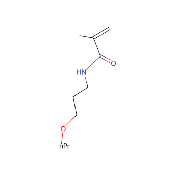 C=C(C)C(=O)NCCCOCCC